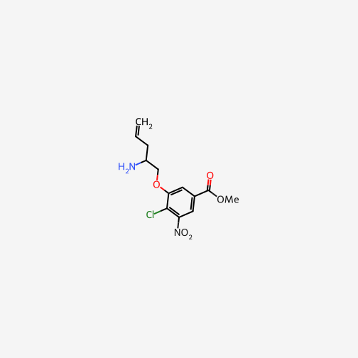 C=CCC(N)COc1cc(C(=O)OC)cc([N+](=O)[O-])c1Cl